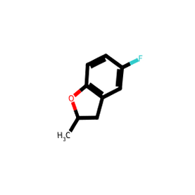 CC1Cc2cc(F)ccc2O1